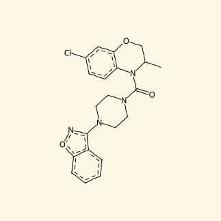 CC1COc2cc(Cl)ccc2N1C(=O)N1CCN(c2noc3ccccc23)CC1